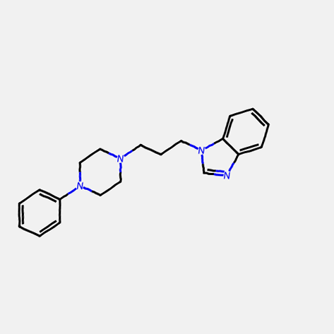 c1ccc(N2CCN(CCCn3cnc4ccccc43)CC2)cc1